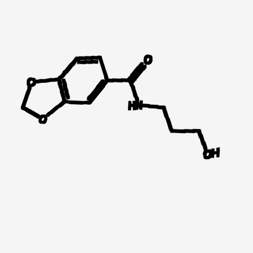 O=C(NCCCO)c1ccc2c(c1)OCO2